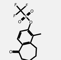 Cc1c(OS(=O)(=O)C(F)(F)F)ccc2c1CCCCC2=O